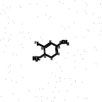 CC1=CCC(C)C(I)=C1